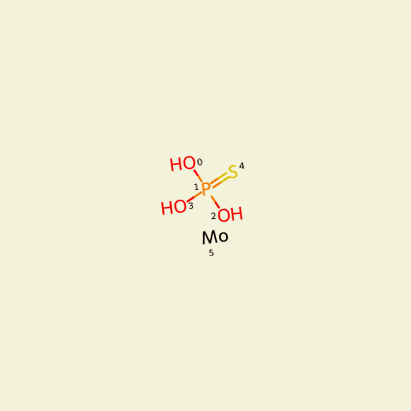 OP(O)(O)=S.[Mo]